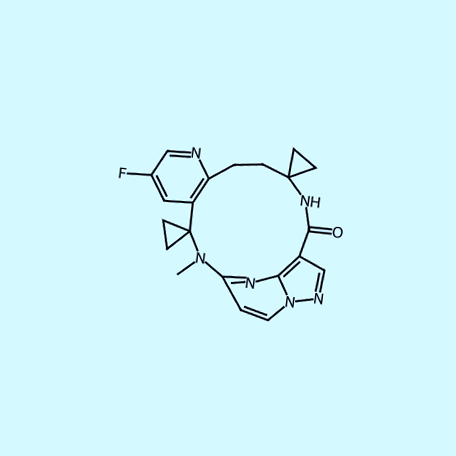 CN1c2ccn3ncc(c3n2)C(=O)NC2(CCc3ncc(F)cc3C13CC3)CC2